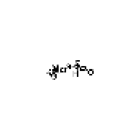 CCOC(=O)C(Cc1ccc(OCCNC(=O)c2ccc(-c3ccccc3)cc2)cc1)N(CC)CC